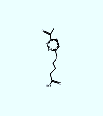 CC(=O)c1ccc(OCCCC(=O)O)nn1